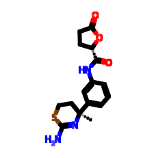 C[C@@]1(c2cccc(NC(=O)[C@@H]3CCC(=O)O3)c2)CCSC(N)=N1